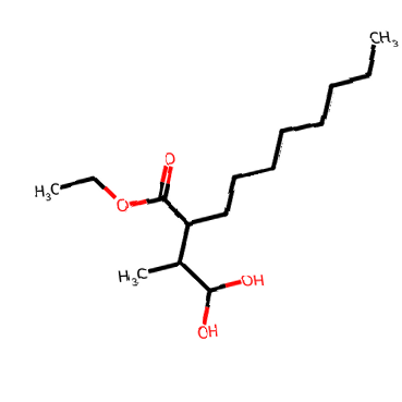 CCCCCCCCC(C(=O)OCC)C(C)C(O)O